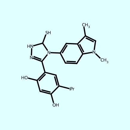 Cc1cn(C)c2ccc(N3C(c4cc(C(C)C)c(O)cc4O)=NNC3S)cc12